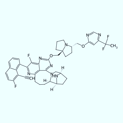 C#Cc1c(F)ccc2cccc(-c3nc4c5c(nc(OC[C@@]67CCCN6[C@H](COc6cc(C(C)(F)F)ncn6)CC7)nc5c3F)N3C[C@H]5CC[C@H](N5)[C@H]3CCC4)c12